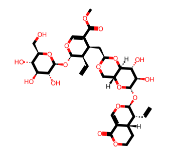 C=C[C@H]1[C@H](O[C@@H]2O[C@H](CO)[C@@H](O)[C@H](O)[C@H]2O)OC=C(C(=O)OC)[C@H]1C[C@@H]1OC[C@H]2O[C@@H](O[C@@H]3OC=C4C(=O)OCC[C@H]4[C@H]3C=C)[C@H](O)[C@@H](O)[C@@H]2O1